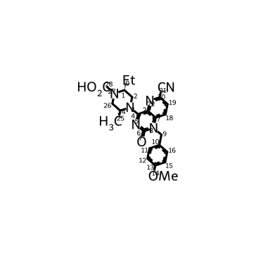 CC[C@@H]1CN(c2nc(=O)n(Cc3ccc(OC)cc3)c3ccc(C#N)nc23)C(C)CN1C(=O)O